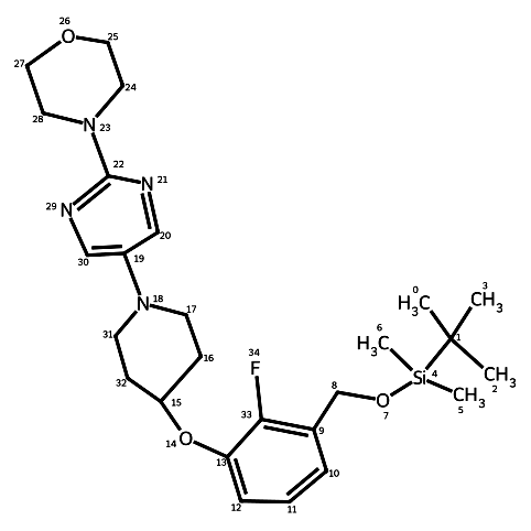 CC(C)(C)[Si](C)(C)OCc1cccc(OC2CCN(c3cnc(N4CCOCC4)nc3)CC2)c1F